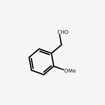 COc1ccccc1[CH]C=O